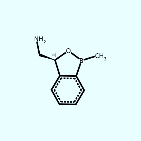 CB1O[C@H](CN)c2ccccc21